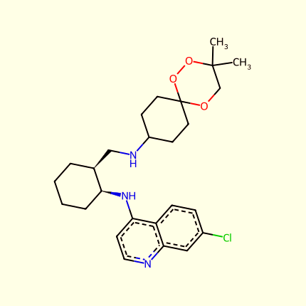 CC1(C)COC2(CCC(NC[C@@H]3CCCC[C@@H]3Nc3ccnc4cc(Cl)ccc34)CC2)OO1